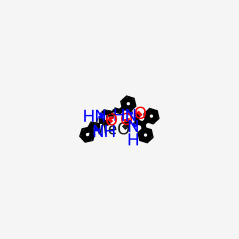 COC(=O)NC(C(=O)Nc1ccccc1CC[C@@H]1CN[C@H](c2cc3ccccc3[nH]2)CO1)C(c1ccccc1)c1ccccc1